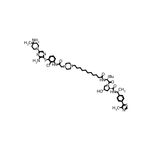 Cc1ncsc1-c1ccc([C@@H](C)NC(=O)[C@H]2C[C@H](O)CN2C(=O)[C@H](NC(=O)CCCCCCCCCCN2CCN(CC(=O)Nc3cccc(Sc4ncc(N5CCC(C)(N)CC5)nc4N)c3Cl)CC2)C(C)(C)C)cc1